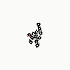 O=P(c1cccc(N(c2ccccc2)c2cccc(Oc3ccccc3)c2)n1)(c1cccc(N(c2ccccc2)c2cccc(Oc3ccccc3)c2)n1)c1cccc(N(c2ccccc2)c2cccc(Oc3ccccc3)c2)n1